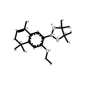 CCOc1cc2c(cc1B1OC(C)(C)C(C)(C)O1)C(C)=CCC2(C)C